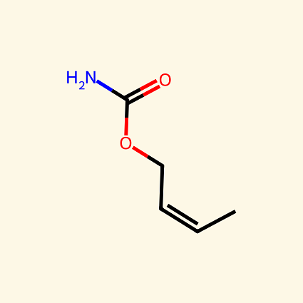 C/C=C\COC(N)=O